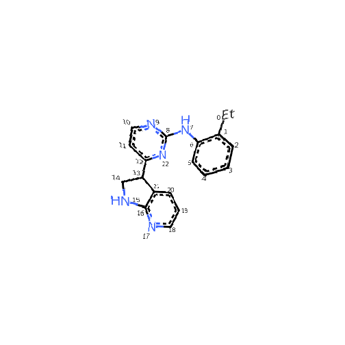 CCc1ccccc1Nc1nccc(C2CNc3ncccc32)n1